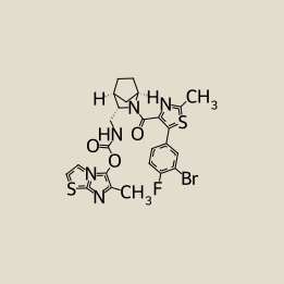 Cc1nc(C(=O)N2[C@@H]3CC[C@@H](C3)[C@H]2CNC(=O)Oc2c(C)nc3sccn23)c(-c2ccc(F)c(Br)c2)s1